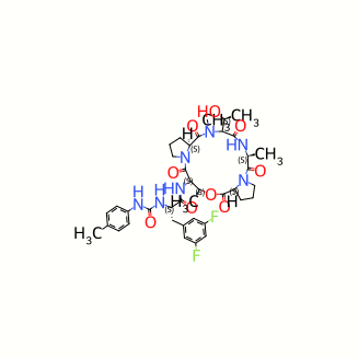 Cc1ccc(NC(=O)N[C@@H](Cc2cc(F)cc(F)c2)C(=O)N[C@@H]2C(=O)N3CCC[C@H]3C(=O)N(C)C([C@H](C)O)C(=O)N[C@@H](C)C(=O)N3CCC[C@H]3C(=O)O[C@H]2C)cc1